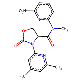 Cc1cc(C(F)(F)F)cc(N2C(=O)OCC2C(=O)N(C)c2cccc([N+](=O)[O-])n2)n1